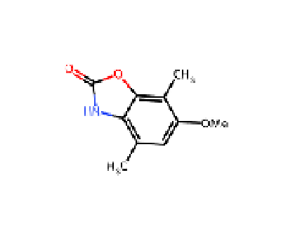 COc1cc(C)c2[nH]c(=O)oc2c1C